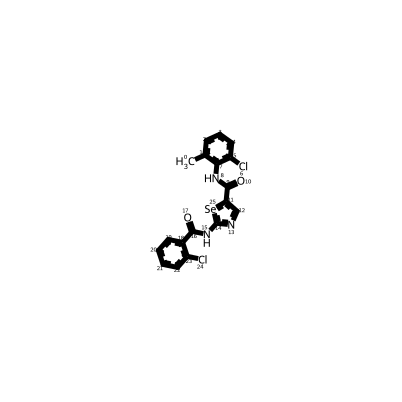 Cc1cccc(Cl)c1NC(=O)c1cnc(NC(=O)c2ccccc2Cl)[se]1